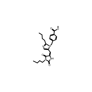 CCCCc1ncc(C=C2NC(=O)N(CCCC)C2=O)n1Cc1ccc(C(=O)OC)cc1